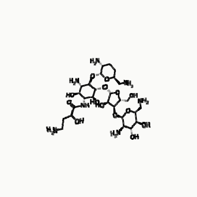 NCCC(O)C(=O)N[C@@H]1[C@@H](O)[C@H](N)[C@@H](O[C@H]2O[C@H](CN)CC[C@H]2N)[C@H](O[C@@H]2O[C@H](CO)[C@@H](O[C@H]3O[C@@H](CN)[C@@H](O)[C@H](O)[C@H]3N)[C@H]2O)[C@H]1O